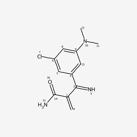 C=C(C(=N)c1cc(Cl)cc(N(C)C)c1)C(N)=O